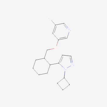 Cc1cncc(OCC2CCCCC2c2ccnn2C2CCC2)c1